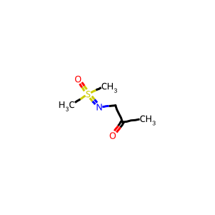 CC(=O)CN=S(C)(C)=O